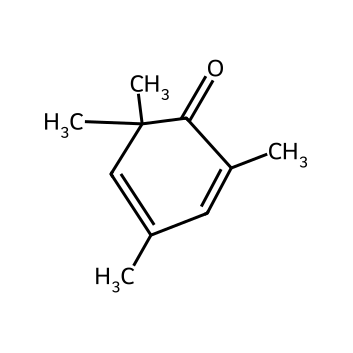 CC1=CC(C)(C)C(=O)C(C)=C1